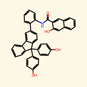 O=C(Nc1ccccc1-c1ccc2c(c1)-c1ccccc1C2(c1ccc(O)cc1)c1ccc(O)cc1)c1cc2ccccc2cc1O